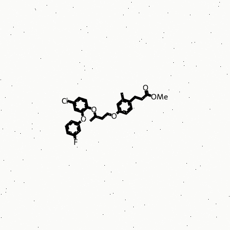 COC(=O)CCc1ccc(OCCC(C)Oc2ccc(Cl)cc2Oc2cccc(F)c2)cc1C